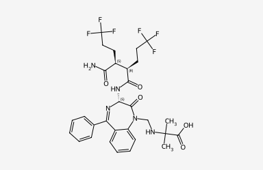 CC(C)(NCN1C(=O)[C@@H](NC(=O)[C@H](CCC(F)(F)F)[C@H](CCC(F)(F)F)C(N)=O)N=C(c2ccccc2)c2ccccc21)C(=O)O